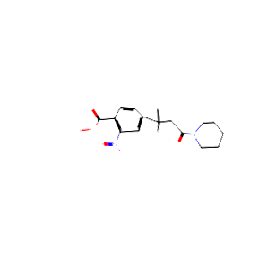 CC(C)(CC(=O)N1CCCCC1)c1ccc(C(=O)OO)c([N+](=O)[O-])c1